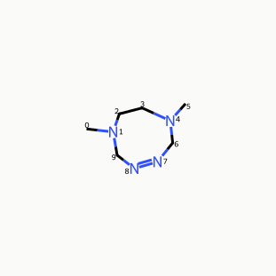 CN1CCN(C)CN=NC1